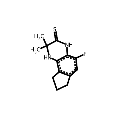 CC1(C)Nc2c3c(cc(F)c2NC1=S)CCC3